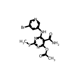 CSc1nc(Nc2cncc(Br)c2)c(C(N)=O)c(OC(C)=O)n1